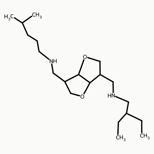 CCC(CC)CNCC1COC2C(CNCCCC(C)C)COC12